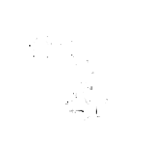 CCN(CCc1ccccc1)[C@H]1CC[C@H](Nc2ncnc3sc4c(c23)CCC4)CC1